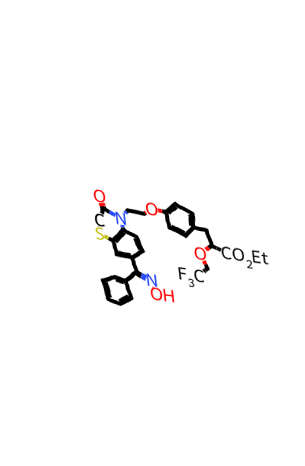 CCOC(=O)C(Cc1ccc(OCCN2C(=O)CSc3cc(/C(=N/O)c4ccccc4)ccc32)cc1)OCC(F)(F)F